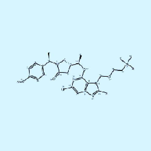 COc1ccc([C@@H](C)N2C[C@H]([C@@H](C)Oc3nc(Cl)cc4nc(C)n(COCC[Si](C)(C)C)c34)CC2=O)cc1